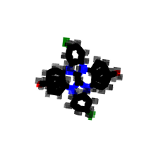 Cc1ccc(N2/C(=C3/N(c4ccc(C)cc4)c4ccc(F)cc4N3c3ccc(C)cc3)N(c3ccc(C)cc3)c3cc(F)ccc32)cc1